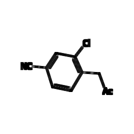 CC(=O)Cc1ccc(C#N)cc1Cl